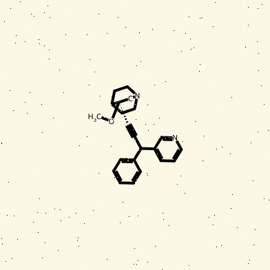 CO[C@]1(C#CC(c2ccccc2)c2cccnc2)CN2CCC1CC2